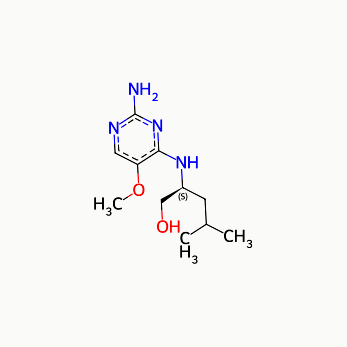 COc1cnc(N)nc1N[C@H](CO)CC(C)C